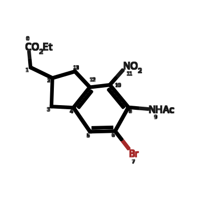 CCOC(=O)CC1Cc2cc(Br)c(NC(C)=O)c([N+](=O)[O-])c2C1